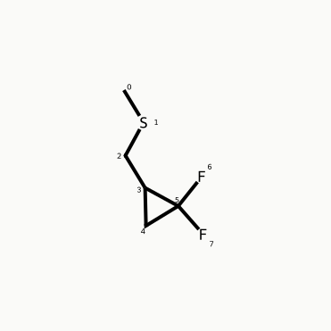 CSCC1CC1(F)F